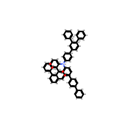 c1ccc(-c2ccc(-c3ccc(N(c4ccc(-c5ccc(-c6ccccc6)c(-c6ccccc6)c5)cc4)c4ccccc4-c4cccc5cccc(-c6ccccc6)c45)cc3)cc2)cc1